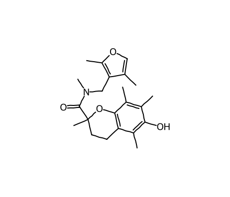 Cc1coc(C)c1CN(C)C(=O)C1(C)CCc2c(C)c(O)c(C)c(C)c2O1